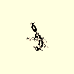 CC(C)c1cc(-c2ccc(C(F)F)cc2)nn2cc(C(=O)N3CCN(C(=O)c4cn[nH]c4)CC3(C)C)nc12